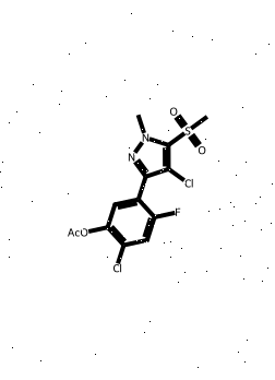 CC(=O)Oc1cc(-c2nn(C)c(S(C)(=O)=O)c2Cl)c(F)cc1Cl